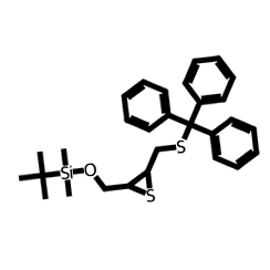 CC(C)(C)[Si](C)(C)OCC1SC1CSC(c1ccccc1)(c1ccccc1)c1ccccc1